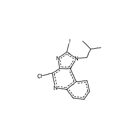 CC(C)Cn1c(I)nc2c(Cl)nc3ccccc3c21